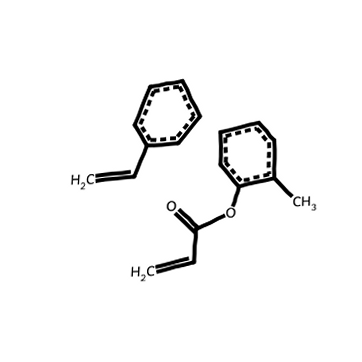 C=CC(=O)Oc1ccccc1C.C=Cc1ccccc1